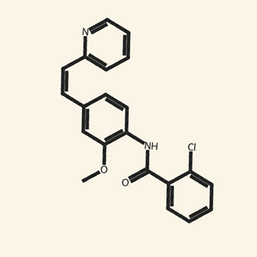 COc1cc(/C=C\c2ccccn2)ccc1NC(=O)c1ccccc1Cl